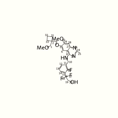 COCC1(COc2cc3c(NCc4cccc(C(F)(F)CO)c4F)nc(C)nc3cc2OC)CCC1